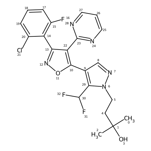 CC(C)(O)CCn1ncc(-c2onc(-c3c(F)cccc3Cl)c2-c2ncccn2)c1C(F)F